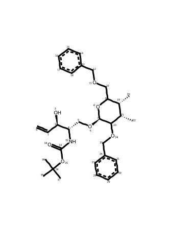 C=C[C@@H](O)[C@H](CO[C@H]1OC(COCc2ccccc2)[C@H](C)[C@H](C)C1OCc1ccccc1)NC(=O)OC(C)(C)C